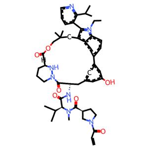 C=CC(=O)N1CC[C@H](C(=O)N(C)[C@H](C(=O)N[C@H]2Cc3cc(O)cc(c3)-c3ccc4c(c3)c(c(-c3cccnc3C(C)C)n4CC)CC(C)(C)COC(=O)[C@@H]3CCCN(N3)C2=O)C(C)C)C1